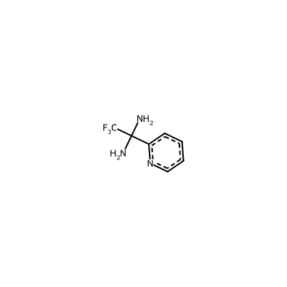 NC(N)(c1ccccn1)C(F)(F)F